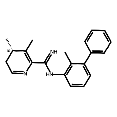 CC1=C(C(=N)Nc2cccc(-c3ccccc3)c2C)N=CC[C@@H]1C